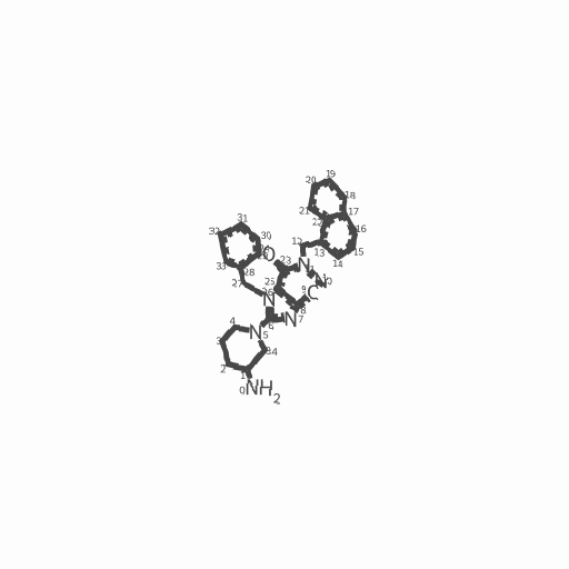 NC1CCCN(c2nc3cnn(Cc4cccc5ccccc45)c(=O)c3n2Cc2ccccc2)C1